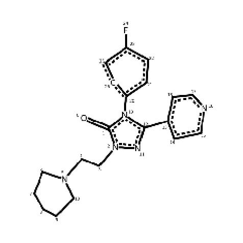 O=c1n(CCN2CCCCC2)nc(-c2ccncc2)n1-c1ccc(F)cc1